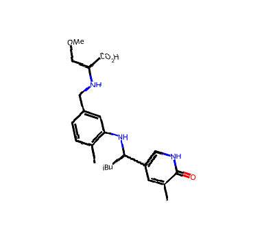 CCC(C)C(Nc1cc(CNC(COC)C(=O)O)ccc1C)c1c[nH]c(=O)c(C)c1